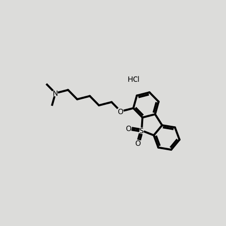 CN(C)CCCCCOc1cccc2c1S(=O)(=O)c1ccccc1-2.Cl